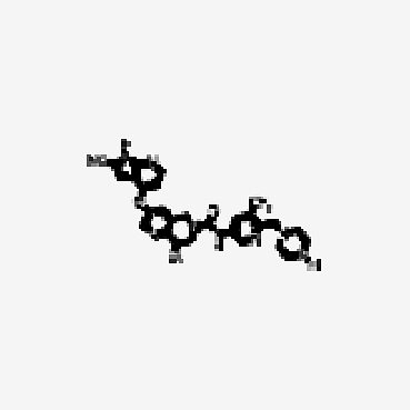 CCC1CN(C(=O)Nc2cnc(CN3CCN(CC)CC3)c(C(F)(F)F)c2)Cc2cc(Oc3ccnc4[nH]c(C#N)cc34)cnc21